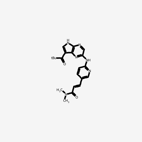 CN(C)C(=O)C=Cc1ccc(Nc2cnc3[nH]cc(C(=O)C(C)(C)C)c3n2)nc1